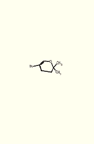 CC(C)C1=COC(C)(C)CC1